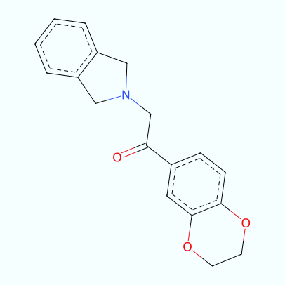 O=C(CN1Cc2ccccc2C1)c1ccc2c(c1)OCCO2